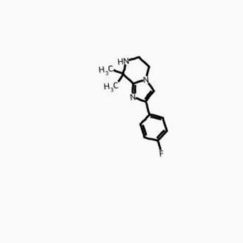 CC1(C)NCCn2cc(-c3ccc(F)cc3)nc21